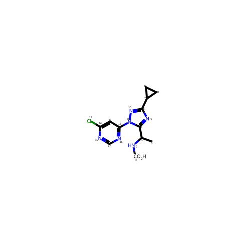 CC(NC(=O)O)c1nc(C2CC2)nn1-c1cc(Cl)ncn1